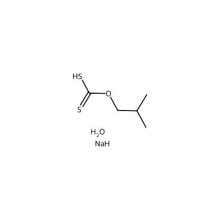 CC(C)COC(=S)S.O.[NaH]